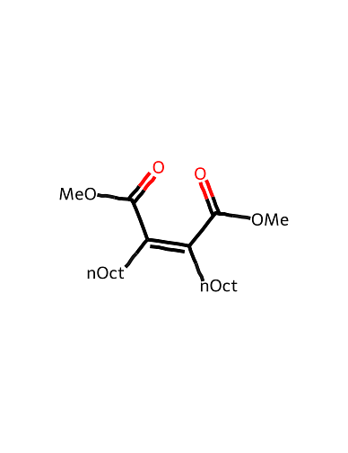 CCCCCCCC/C(C(=O)OC)=C(\CCCCCCCC)C(=O)OC